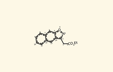 CCOC(=O)Cc1noc2cc3ccccc3cc12